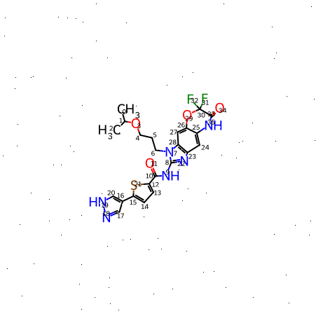 CC(C)OCCCn1c(NC(=O)c2ccc(-c3cn[nH]c3)s2)nc2cc3c(cc21)OC(F)(F)C(=O)N3